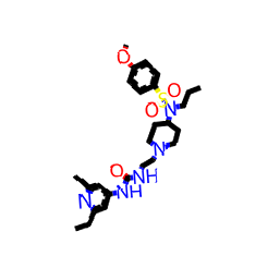 CCCN(C1CCN(CCNC(=O)Nc2cc(C)nc(CC)c2)CC1)S(=O)(=O)c1ccc(OC)cc1